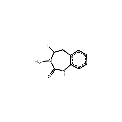 CN1C(=O)Nc2ccccc2CC1F